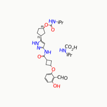 CC(C)NC(=O)O.CC(C)NC(=O)O[C@@H]1CC[C@H](c2cc(NC(=O)C3CC(Oc4cccc(O)c4C=O)C3)n[nH]2)C1